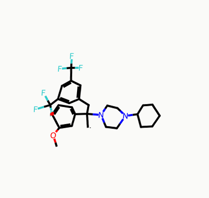 [CH2]C(Cc1cc(C(F)(F)F)cc(C(F)(F)F)c1)(c1cccc(OC)c1)N1CCN(C2CCCCC2)CC1